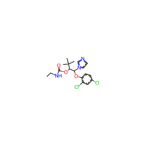 CCNC(=O)OC(C(Oc1ccc(Cl)cc1Cl)n1ccnc1)C(C)(C)C